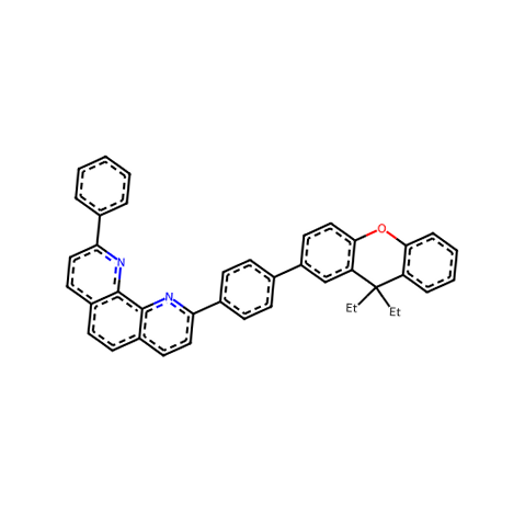 CCC1(CC)c2ccccc2Oc2ccc(-c3ccc(-c4ccc5ccc6ccc(-c7ccccc7)nc6c5n4)cc3)cc21